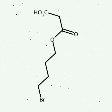 O=C(O)CC(=O)OCCCCBr